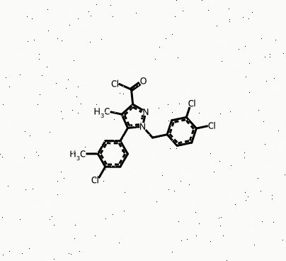 Cc1cc(-c2c(C)c(C(=O)Cl)nn2Cc2ccc(Cl)c(Cl)c2)ccc1Cl